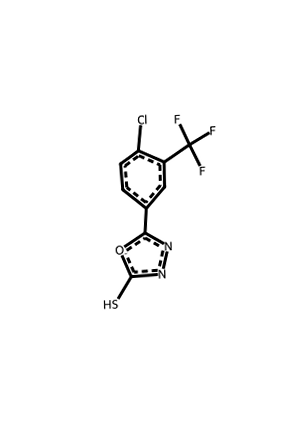 FC(F)(F)c1cc(-c2nnc(S)o2)ccc1Cl